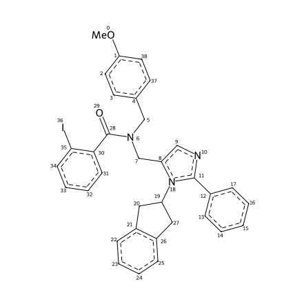 COc1ccc(CN(Cc2cnc(-c3ccccc3)n2C2Cc3ccccc3C2)C(=O)c2ccccc2I)cc1